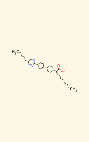 CCCCCCCC=C(C(=O)O)[C@H]1CC[C@H](c2ccc(-c3ncc(CCCCC)cn3)cc2)CC1